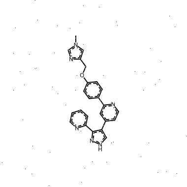 Cn1cnc(COc2ccc(-c3cc(-c4c[nH]nc4-c4ccccn4)ccn3)cc2)c1